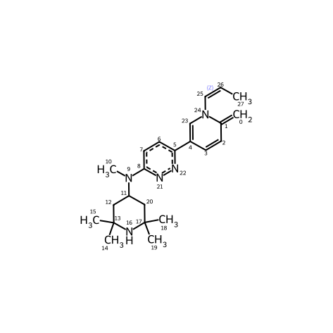 C=C1C=CC(c2ccc(N(C)C3CC(C)(C)NC(C)(C)C3)nn2)=CN1/C=C\C